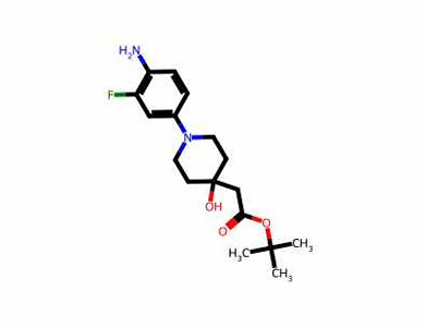 CC(C)(C)OC(=O)CC1(O)CCN(c2ccc(N)c(F)c2)CC1